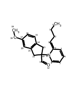 CCC/C=C1\C=CC=CN1C1(C=O)Cc2ccc(OC)cc2C1